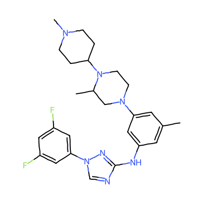 Cc1cc(Nc2ncn(-c3cc(F)cc(F)c3)n2)cc(N2CCN(C3CCN(C)CC3)C(C)C2)c1